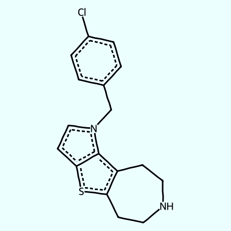 Clc1ccc(Cn2ccc3sc4c(c32)CCNCC4)cc1